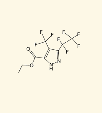 CCOC(=O)c1[nH]nc(C(F)(F)C(F)(F)F)c1C(F)(F)F